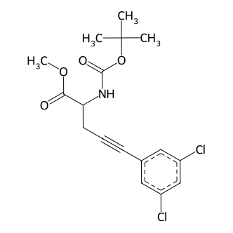 COC(=O)C(CC#Cc1cc(Cl)cc(Cl)c1)NC(=O)OC(C)(C)C